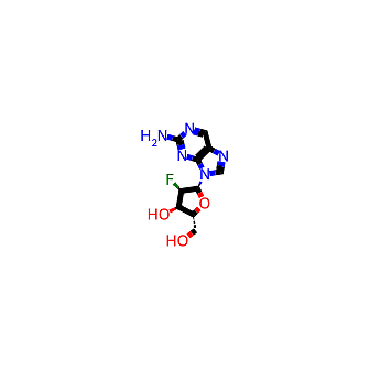 Nc1ncc2ncn([C@@H]3O[C@H](CO)[C@@H](O)[C@H]3F)c2n1